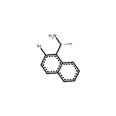 [2H]c1ccc2ccccc2c1[C@@H](C)N